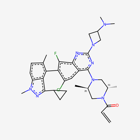 C=CC(=O)N1C[C@@H](C)N(c2nc(N3CC(N(C)C)C3)nc3c(F)c(-c4c(C)ccc5c4c(C4CC4)nn5C)c(Cl)cc23)C[C@@H]1C